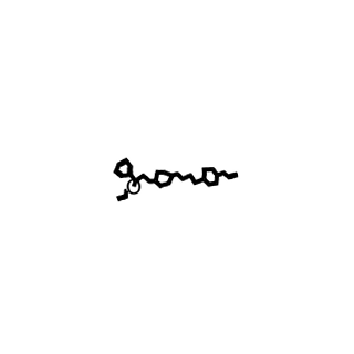 C=CCOC(CCC1CCC(CCCCC2CCC(CC=C)CC2)CC1)c1ccccc1